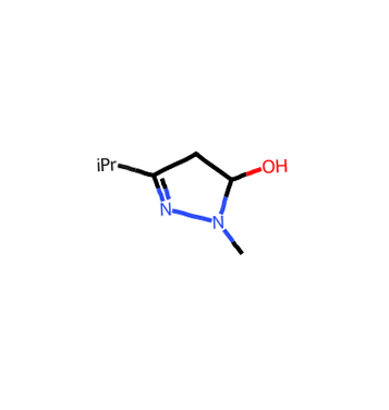 CC(C)C1=NN(C)C(O)C1